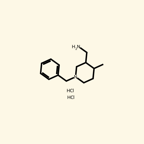 CC1CCN(Cc2ccccc2)CC1CN.Cl.Cl